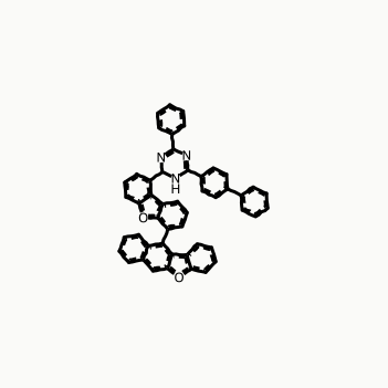 c1ccc(C2=NC(c3cccc4oc5c(-c6c7ccccc7cc7oc8ccccc8c67)cccc5c34)NC(c3ccc(-c4ccccc4)cc3)=N2)cc1